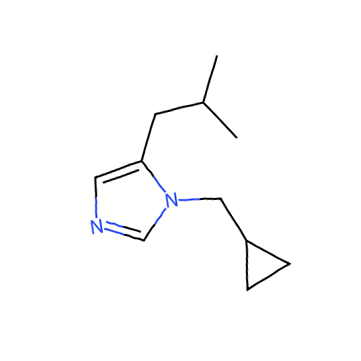 CC(C)Cc1cncn1CC1CC1